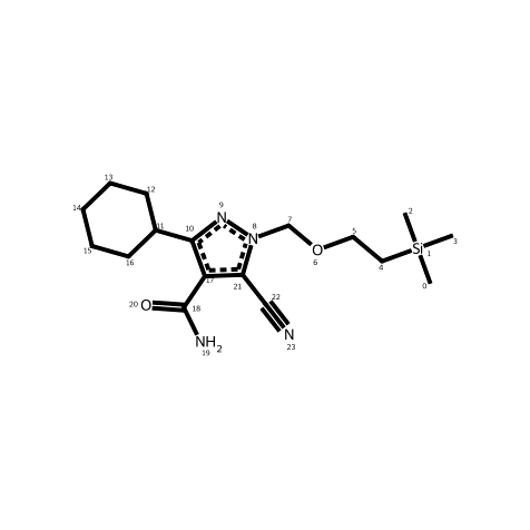 C[Si](C)(C)CCOCn1nc(C2CCCCC2)c(C(N)=O)c1C#N